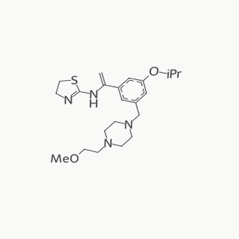 C=C(NC1=NCCS1)c1cc(CN2CCN(CCOC)CC2)cc(OC(C)C)c1